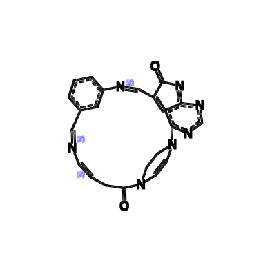 O=C1N=c2ncnc3c2=C1/C=N\c1cccc(c1)/C=N\C=C/CC(=O)N1C=CN3CC1